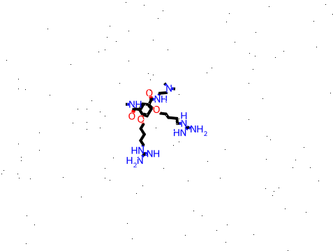 CNC(=O)c1cc(C(=O)NCCN(C)C)c(OCCCCCNC(=N)N)cc1OCCCCCNC(=N)N